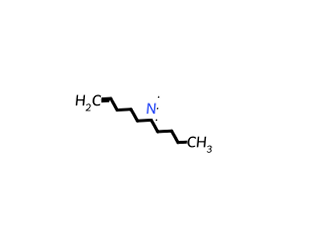 C=CCCCCCCCC.[N]